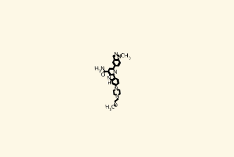 COCCN1CCN(c2ccc3c(c2)[nH]c2c(C(N)=O)cc(-c4ccc5c(cnn5C)c4)nc23)CC1